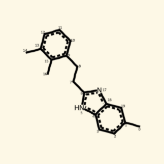 Cc1ccc2[nH]c(CCc3cccc(C)c3C)nc2c1